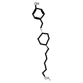 CCCCCCC[C@H]1CC[C@H](CCc2ccc(O)cc2)CC1